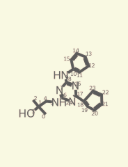 CC(C)(O)CNc1nc(Nc2ccccc2)nc(-c2ccccc2)n1